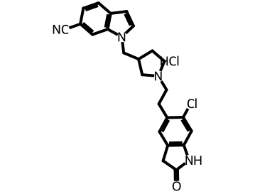 Cl.N#Cc1ccc2ccn(CC3CCN(CCc4cc5c(cc4Cl)NC(=O)C5)C3)c2c1